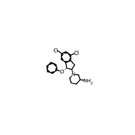 NC1CCCN([C@@H]2Cc3c(Cl)cc(Cl)cc3[C@H]2Oc2ccccc2)C1